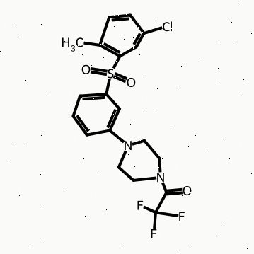 Cc1ccc(Cl)cc1S(=O)(=O)c1cccc(N2CCN(C(=O)C(F)(F)F)CC2)c1